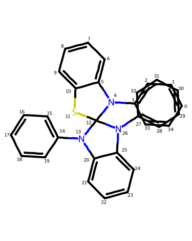 c1ccc(N2c3ccccc3SC23N(c2ccccc2)c2ccccc2N3c2ccccc2)cc1